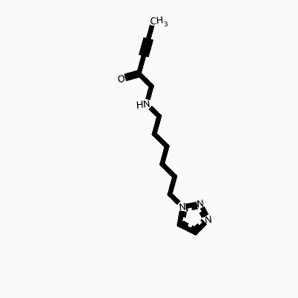 CC#CC(=O)CNCCCCCCn1ccnn1